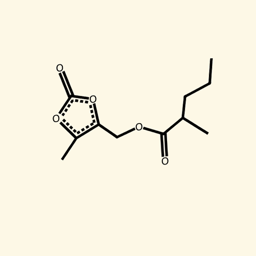 CCCC(C)C(=O)OCc1oc(=O)oc1C